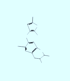 O=C(O)C1Cc2cc(Cl)c(Oc3cc(Cl)sc3Cl)cc2OC1C(F)(F)F